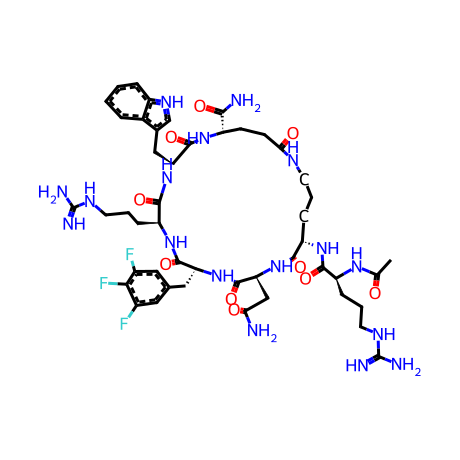 CC(=O)N[C@@H](CCCNC(=N)N)C(=O)N[C@H]1CCCNC(=O)CC[C@@H](C(N)=O)NC(=O)[C@H](Cc2c[nH]c3ccccc23)NC(=O)[C@H](CCCNC(=N)N)NC(=O)[C@@H](Cc2cc(F)c(F)c(F)c2)NC(=O)[C@H](CC(N)=O)NC1=O